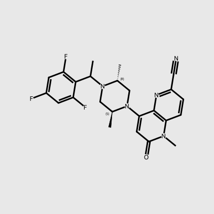 CC(c1c(F)cc(F)cc1F)N1C[C@H](C)N(c2cc(=O)n(C)c3ccc(C#N)nc23)C[C@H]1C